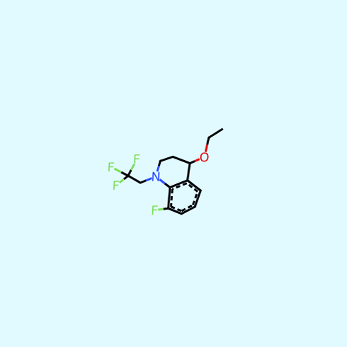 CCOC1CCN(CC(F)(F)F)c2c(F)cccc21